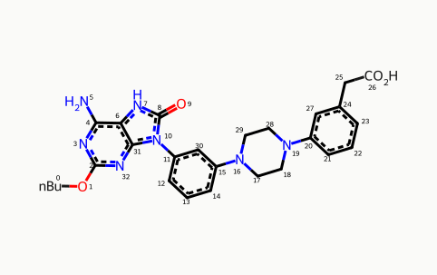 CCCCOc1nc(N)c2[nH]c(=O)n(-c3cccc(N4CCN(c5cccc(CC(=O)O)c5)CC4)c3)c2n1